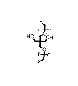 OCC(CO)(COC(F)(F)CF)COC(F)(F)CF